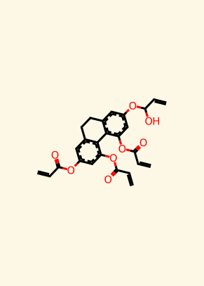 C=CC(=O)Oc1cc2c(c(OC(=O)C=C)c1)-c1c(cc(OC(O)C=C)cc1OC(=O)C=C)CC2